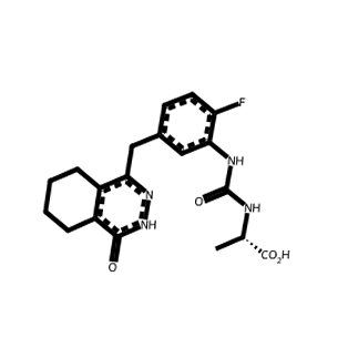 C[C@H](NC(=O)Nc1cc(Cc2n[nH]c(=O)c3c2CCCC3)ccc1F)C(=O)O